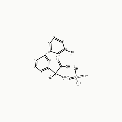 CC(O)(C(=O)O)c1ccccc1.O=S(=O)(O)O.Oc1ccccc1